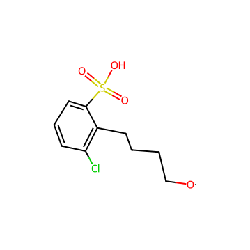 [O]CCCCc1c(Cl)cccc1S(=O)(=O)O